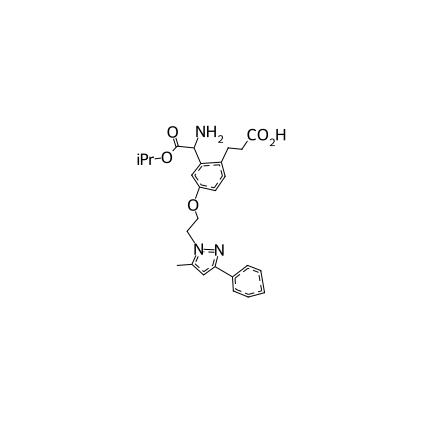 Cc1cc(-c2ccccc2)nn1CCOc1ccc(CCC(=O)O)c(C(N)C(=O)OC(C)C)c1